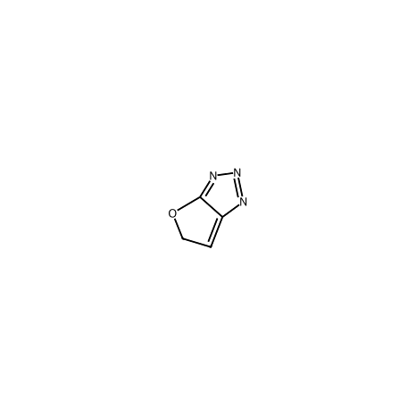 C1=C2N=NN=C2OC1